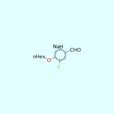 CCCCCCOc1ccc(C=O)cc1F.[NaH]